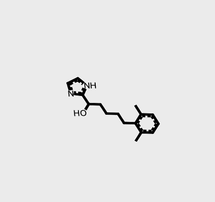 Cc1cccc(C)c1CCCCC(O)c1ncc[nH]1